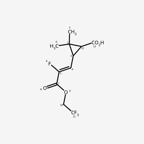 CC1(C)C(C=C(F)C(=O)OCC(F)(F)F)C1C(=O)O